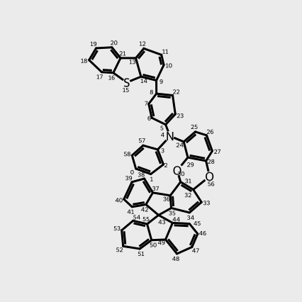 c1ccc(N(c2ccc(-c3cccc4c3sc3ccccc34)cc2)c2cccc3c2Oc2c(ccc4c2-c2ccccc2C42c4ccccc4-c4ccccc42)O3)cc1